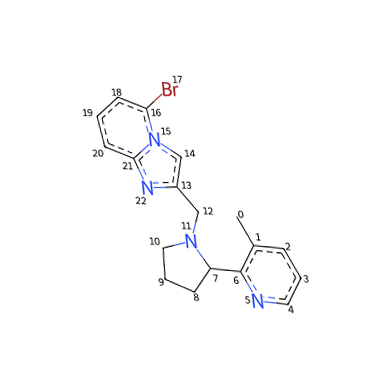 Cc1cccnc1C1CCCN1Cc1cn2c(Br)cccc2n1